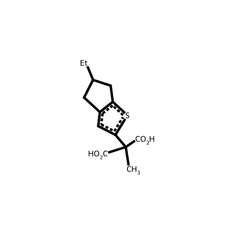 CCC1Cc2cc(C(C)(C(=O)O)C(=O)O)sc2C1